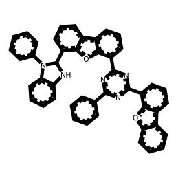 c1ccc(-c2nc(-c3cccc4c3oc3ccccc34)nc(-c3cccc4c3oc3c(C5Nc6ccccc6N5c5ccccc5)cccc34)n2)cc1